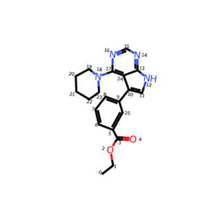 CCOC(=O)c1cccc(-c2c[nH]c3ncnc(N4CCCCC4)c23)c1